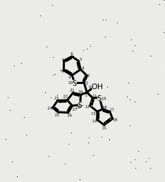 OC(c1cc2ccccc2s1)(c1cc2ccccc2s1)c1cc2ccccc2s1